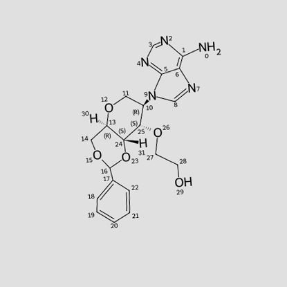 Nc1ncnc2c1ncn2[C@@H]1CO[C@@H]2COC(c3ccccc3)O[C@H]2[C@H]1OCCO